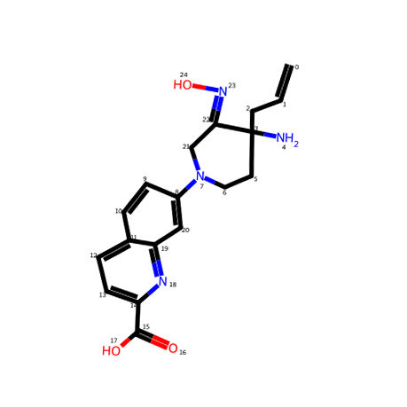 C=CCC1(N)CCN(c2ccc3ccc(C(=O)O)nc3c2)CC1=NO